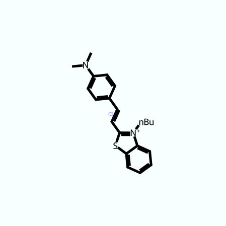 CCCC[n+]1c(/C=C/c2ccc(N(C)C)cc2)sc2ccccc21